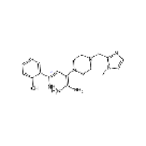 Cn1ccnc1CN1CCN(C(/C=C(\N)c2ccccc2O)=C(N)N)CC1